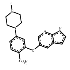 O=C(O)c1ccc(N2CCN(I)CC2)cc1Oc1cnc2[nH]ccc2c1